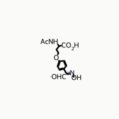 CC(=O)NC(CCOc1ccc(/C([C]=O)=N/O)cc1)C(=O)O